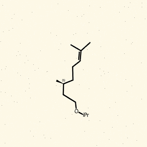 CC(C)=CCC[C@H](C)CCOC(C)C